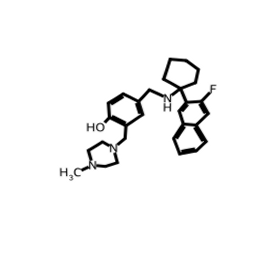 CN1CCN(Cc2cc(CNC3(c4cc5ccccc5cc4F)CCCCC3)ccc2O)CC1